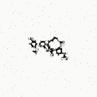 COC(=O)Nc1ccc2c(c1)NC(=O)CC/C=C/C[C@H](N1CC[C@H](c3cc(Cl)ccc3OC(F)F)OC1=O)c1nc-2c(Cl)[nH]1